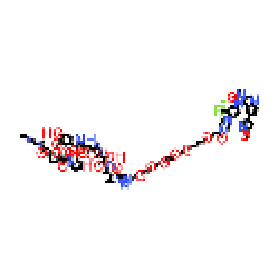 C=C/C=C/C=C(\C)C(C[C@@H]1CCC[C@](O)(C(=O)C(=O)N2CCCCC2C(=O)OC(C[C@@H](O)C(C)/C=C(\C)C(O)[C@@H](O)/C(=N/OCc2cn(CCOCCOCCOCCOCCOCCCCOCCC(=O)N3CCN(c4ccc(-n5c(=O)n(C)c6cnc7ccc(-c8ccc(OC)nc8)cc7c65)cc4C(F)(F)F)CC3)nn2)C(C)CC(C)C)[C@H](N)CC2CCC(O)[C@H](OC)C2)O1)OC